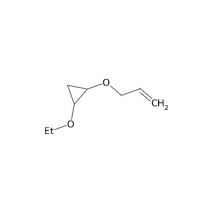 C=CCOC1CC1OCC